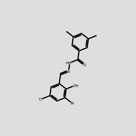 Cc1cc(C)cc(C(=O)N/N=C/c2cc(Cl)cc(Br)c2O)c1